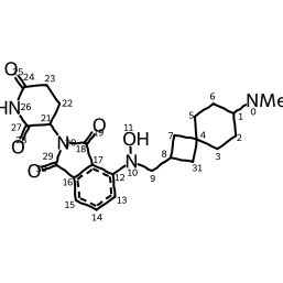 CNC1CCC2(CC1)CC(CN(O)c1cccc3c1C(=O)N(C1CCC(=O)NC1=O)C3=O)C2